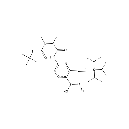 [2H]OB(O)c1ccc(NC(=O)C(C)N(C)C(=O)OC(C)(C)C)nc1C#C[Si](C(C)C)(C(C)C)C(C)C